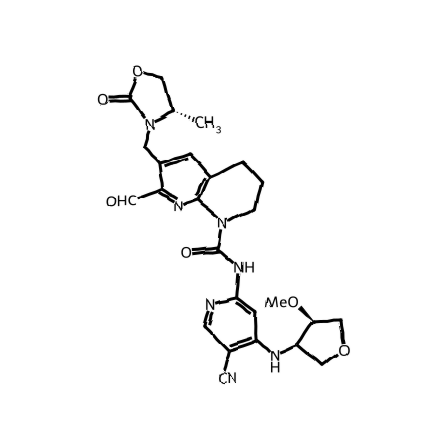 CO[C@H]1COCC1Nc1cc(NC(=O)N2CCCc3cc(CN4C(=O)OC[C@@H]4C)c(C=O)nc32)ncc1C#N